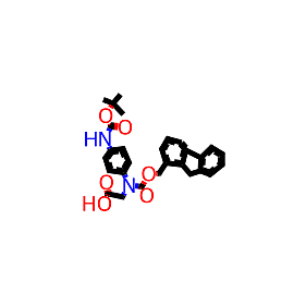 CC(C)(C)OC(=O)Nc1ccc(N(CC(=O)O)C(=O)OCc2cccc3c2Cc2ccccc2-3)cc1